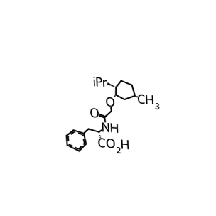 CC(C)[C@H]1CC[C@H](C)C[C@@H]1OCC(=O)N[C@@H](Cc1ccccc1)C(=O)O